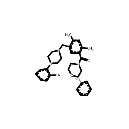 Cc1cc(C)c(C(=O)N2CCO[C@@H](c3ccccc3)C2)cc1CN1CCN(c2ccccc2C#N)CC1